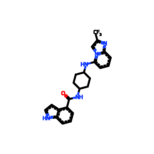 O=C(NC1CCC(Nc2cccc3nc(C(F)(F)F)cn23)CC1)c1cccc2[nH]ccc12